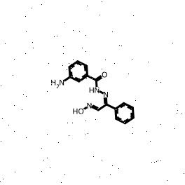 Nc1cccc(C(=O)NN=C(C=NO)c2ccccc2)c1